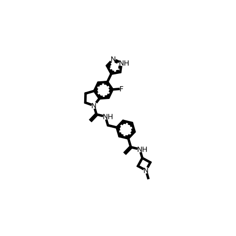 C=C(NC1CN(C)C1)c1cccc(CNC(=C)N2CCc3cc(-c4cn[nH]c4)c(F)cc32)c1